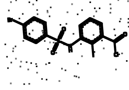 Cc1c(NS(=O)(=O)c2ccc(Br)cc2)cccc1C(=O)Cl